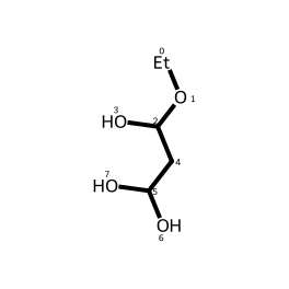 CCOC(O)CC(O)O